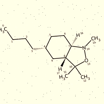 CCCC[C@@H]1CC[C@@H]2[C@@H](C1)C(C)(C)ON2C